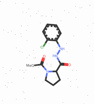 COC(=O)N1CCCC1C(=O)NNc1ccccc1Cl